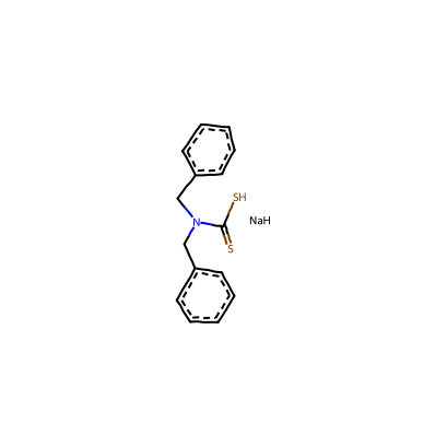 S=C(S)N(Cc1ccccc1)Cc1ccccc1.[NaH]